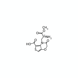 COC(=O)[C@@H](N)CN1C(=O)COc2csc(C(=O)O)c21